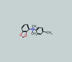 Cc1ccc([N+](C)(C)c2cccc3c2OCO3)cc1